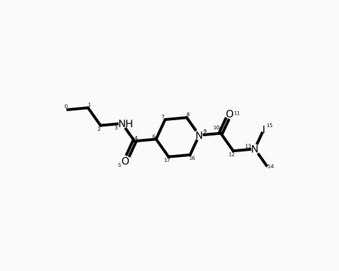 CCCNC(=O)C1CCN(C(=O)CN(C)I)CC1